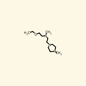 CCOCCN(C)CCN1CCN(C)CC1